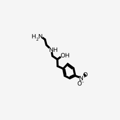 NCCNCC(O)Cc1ccc([N+](=O)[O-])cc1